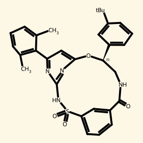 Cc1cccc(C)c1-c1cc2nc(n1)NS(=O)(=O)c1cccc(c1)C(=O)NC[C@H](c1cccc(C(C)(C)C)c1)O2